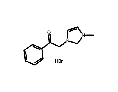 Br.CN1C=CN(CC(=O)c2ccccc2)C1